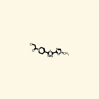 Cn1cnc(-c2nnc(C3=CCN(C(=O)CCl)CC3)s2)n1